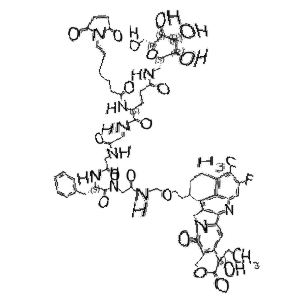 CC[C@@]1(O)C(=O)OCc2c1cc1n(c2=O)Cc2c-1nc1cc(F)c(C)c3c1c2C(CCOCNC(=O)CNC(=O)[C@H](Cc1ccccc1)NC(=O)CNC(=O)CNC(=O)[C@H](CCC(=O)NC[C@@H]1O[C@H](CO)[C@@H](O)[C@H](O)[C@H]1O)NC(=O)CCCCCN1C(=O)C=CC1=O)CC3